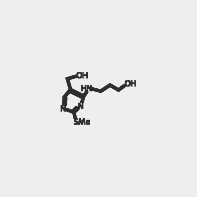 CSc1ncc(CO)c(NCCCO)n1